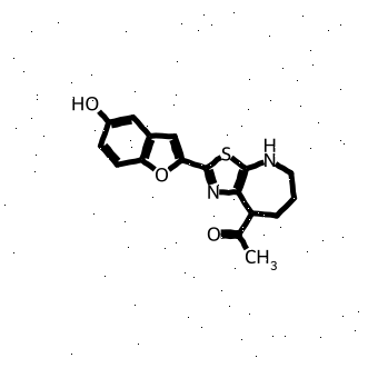 CC(=O)C1CCCNc2sc(-c3cc4cc(O)ccc4o3)nc21